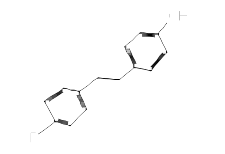 Cc1ccc(CCc2ccc(F)cc2)cc1